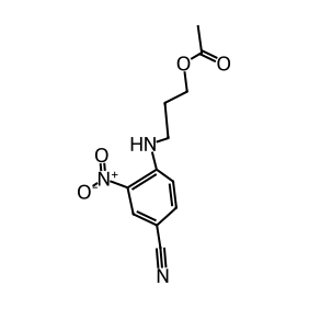 CC(=O)OCCCNc1ccc(C#N)cc1[N+](=O)[O-]